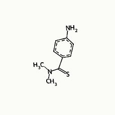 CN(C)C(=S)c1ccc(N)cc1